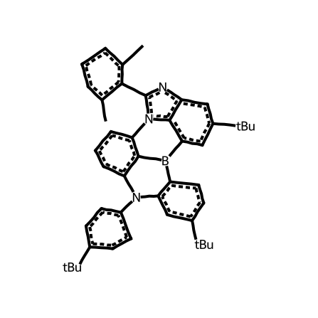 Cc1cccc(C)c1-c1nc2cc(C(C)(C)C)cc3c2n1-c1cccc2c1B3c1ccc(C(C)(C)C)cc1N2c1ccc(C(C)(C)C)cc1